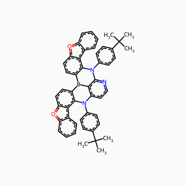 CC(C)(C)c1ccc(N2c3ccnc4c3B(c3ccc5oc6ccccc6c5c32)c2ccc3oc5ccccc5c3c2N4c2ccc(C(C)(C)C)cc2)cc1